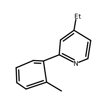 CCc1ccnc(-c2ccccc2C)c1